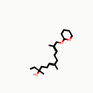 CCC(C)(O)CCC=C(C)CCC=C(C)COC1CCCCO1